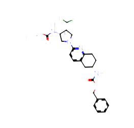 CC(C)(C)OC(=O)N[C@@H]1CN(c2ccc3c(n2)CC[C@H](NC(=O)OCc2ccccc2)C3)C[C@H]1C(F)F